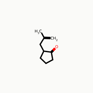 C=C(C)CC1CCCC1=O